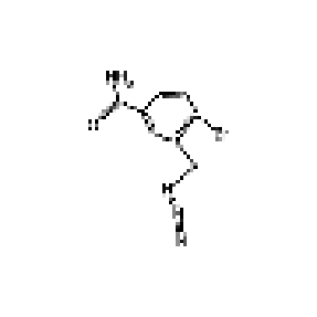 [N-]=[N+]=NCc1cc(C(N)=O)ccc1Br